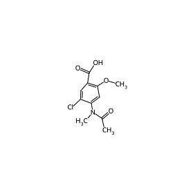 COc1cc(N(C)C(C)=O)c(Cl)cc1C(=O)O